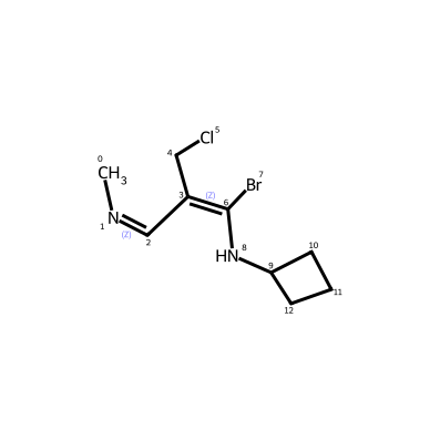 C/N=C\C(CCl)=C(\Br)NC1CCC1